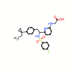 CCC1(c2ccc(CC(NS(=O)(=O)c3ccc(F)cc3)c3cccc(NCC(=O)O)n3)cc2)CC1